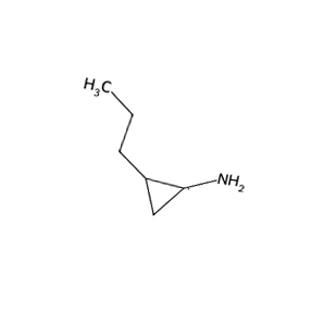 CCCC1C[C]1N